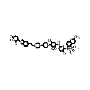 CCc1cc(Nc2ncc(Br)c(Nc3ccc4nc(C)ccc4c3P(C)(C)=O)n2)c(OC)cc1N1CCC(N2CCN(CCc3ccc4nn(C5CCC(=O)NC5=O)cc4c3)CC2)CC1